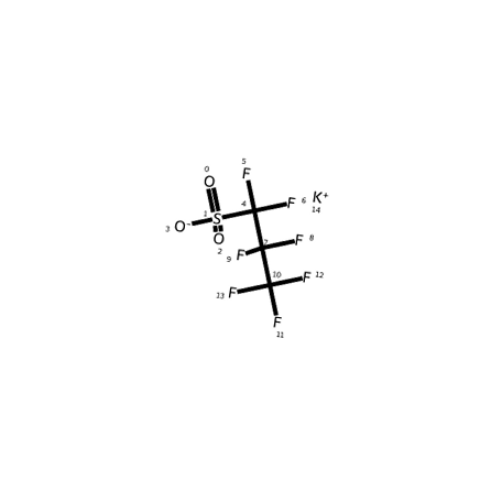 O=S(=O)([O-])C(F)(F)C(F)(F)C(F)(F)F.[K+]